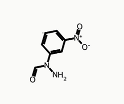 NN(C=O)c1c[c]cc([N+](=O)[O-])c1